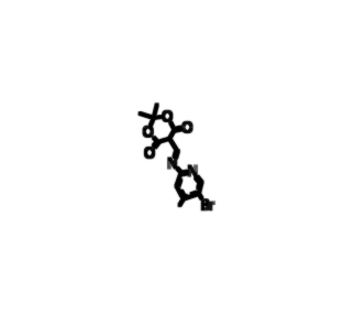 Cc1cc(N=CC2C(=O)OC(C)(C)OC2=O)ncc1Br